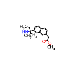 CCC(C)(NC)c1ccc2ccc(CC(=O)OC)cc2c1